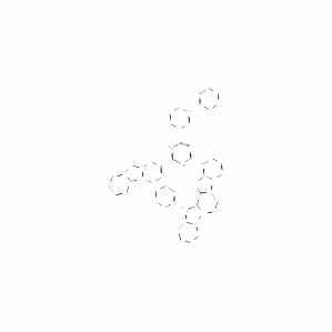 c1ccc(-c2cccc(-c3nc(-c4ccc5c(c4)oc4ccccc45)nc(-c4cccc5c4sc4c5ccc5c6ccccc6n(-c6ccccc6)c54)n3)c2)cc1